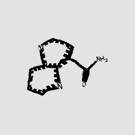 NC(=O)c1ccnc2cccnc12